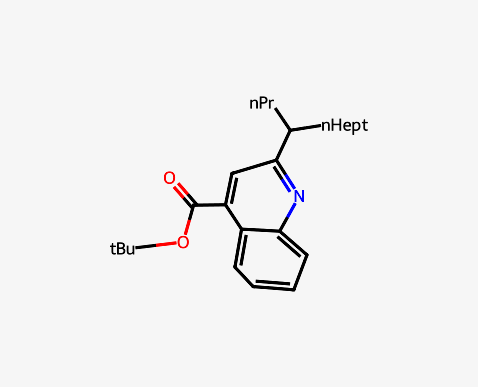 CCCCCCCC(CCC)c1cc(C(=O)OC(C)(C)C)c2ccccc2n1